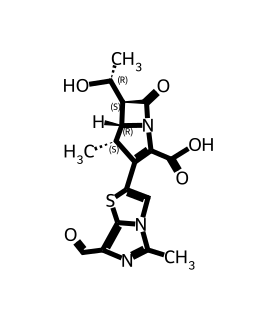 Cc1nc(C=O)c2sc(C3=C(C(=O)O)N4C(=O)[C@H]([C@@H](C)O)[C@H]4[C@H]3C)cn12